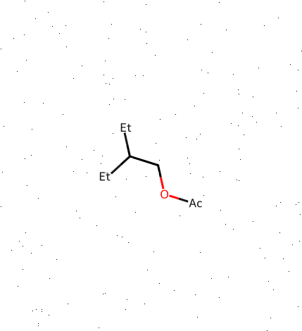 [CH2]C(=O)OCC(CC)CC